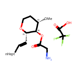 CCCCCCCC=C[C@@H]1OCC[C@H](OC)[C@H]1OC(=O)CN.O=C(O)C(F)(F)F